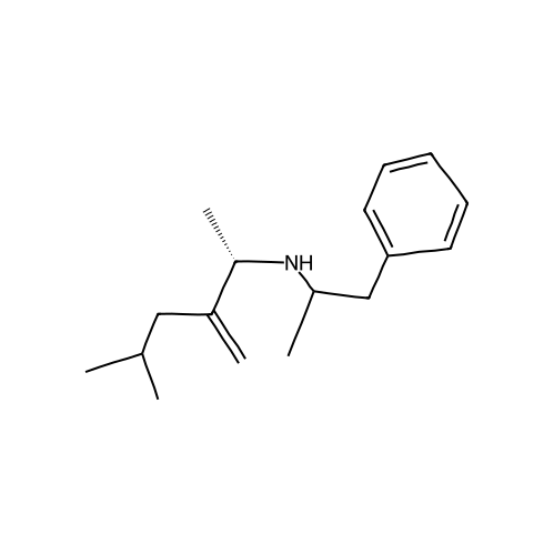 C=C(CC(C)C)[C@H](C)NC(C)Cc1ccccc1